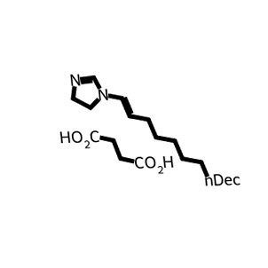 CCCCCCCCCCCCCCCC=CN1C=NCC1.O=C(O)CCC(=O)O